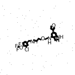 FC(F)(F)Oc1ccc(CNCCCCOCCNc2cc(-c3ccoc3)cc3[nH]ncc23)cc1Cl